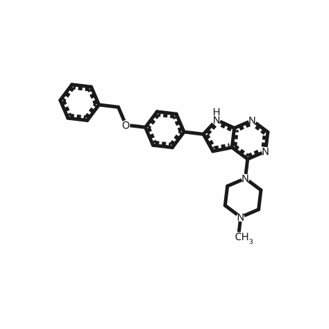 CN1CCN(c2ncnc3[nH]c(-c4ccc(OCc5ccccc5)cc4)cc23)CC1